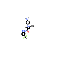 Cc1c(C(=O)Nc2cccc(C(C)(F)F)c2)cc(C(C)(C)C)n1[C@H]1CC[C@H](N(C)C)CC1